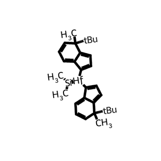 C[Si](C)=[Hf]([C]1=CC=C2C1=CC=CC2(C)C(C)(C)C)[C]1=CC=C2C1=CC=CC2(C)C(C)(C)C